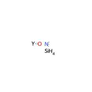 [N].[O].[SiH4].[Y]